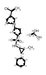 C=C(Cl)c1cnn(-c2ccc(S(=O)(=O)N[C@H]3[C@H](C)[C@@H]3c3ccccc3)s2)c1.O=C(O)O